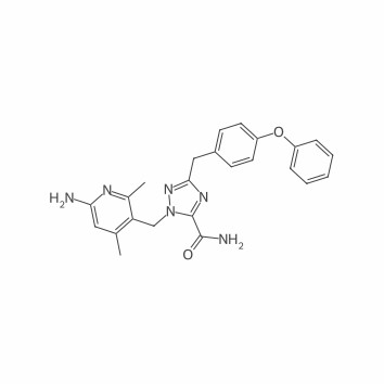 Cc1cc(N)nc(C)c1Cn1nc(Cc2ccc(Oc3ccccc3)cc2)nc1C(N)=O